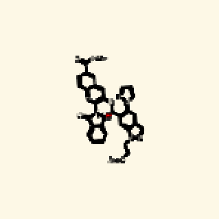 COCCn1ncc2cc(-n3cccn3)c(C(C)Oc3cc4cc(C(=O)OC)ccc4nc3N3C(=O)c4ccccc4C3=O)cc21